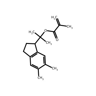 C=C(C)C(=O)OC(C)(C)C1CCc2cc(C)c(C)cc21